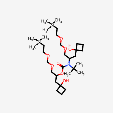 CC(C)(C)N(C(=O)OC(COCOCC[Si](C)(C)C)CC1(O)CCC1)C(COCOCC[Si](C)(C)C)CC1(O)CCC1